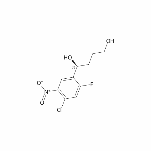 O=[N+]([O-])c1cc([C@@H](O)CCCO)c(F)cc1Cl